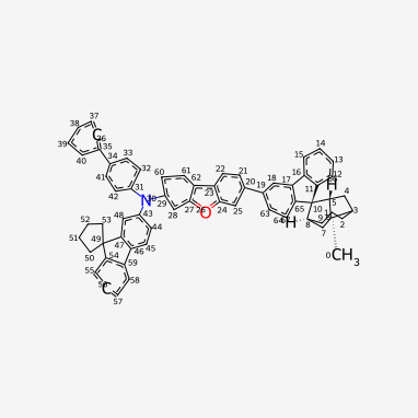 C[C@@H]1CC2C[C@@H]3C2C[C@H](C1)[C@@]31c2ccccc2-c2cc(-c3ccc4c(c3)oc3cc(N(c5ccc(-c6ccccc6)cc5)c5ccc6c(c5)C5(CCCC5)c5ccccc5-6)ccc34)ccc21